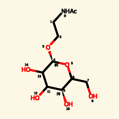 CC(=O)NCCO[C@@H]1OC(CO)[C@H](O)C(O)C1O